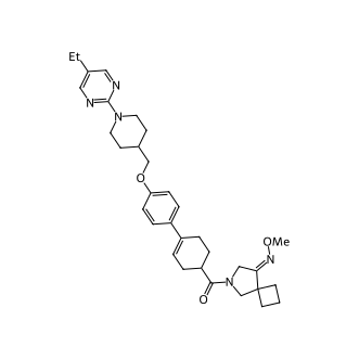 CCc1cnc(N2CCC(COc3ccc(C4=CCC(C(=O)N5C/C(=N\OC)C6(CCC6)C5)CC4)cc3)CC2)nc1